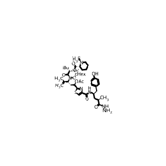 C=C(C)[C@@H](C[C@@H](OC(C)=O)c1nc(C(=O)N[C@@H](Cc2ccc(O)cc2)C[C@H](C)C(=O)NN)cs1)N(OCCCCCC)C(=O)[C@@H](NC(=O)[C@H]1CCCCN1C)[C@@H](C)CC